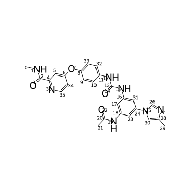 CNC(=O)c1cc(Oc2ccc(NC(=O)Nc3cc(NC(C)=O)cc(-n4cnc(C)c4)c3)cc2)ccn1